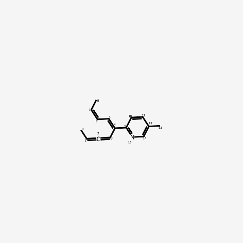 CC=C=C/C(=C\C=C/C)c1ccc(C)cn1